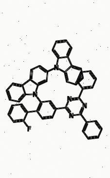 Fc1ccccc1-c1ccc(-c2nc(-c3ccccc3)nc(-c3ccccc3)n2)cc1-n1c2ccccc2c2ccc(-n3c4ccccc4c4ccccc43)cc21